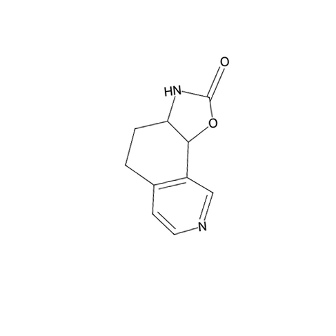 O=C1NC2CCc3ccncc3C2O1